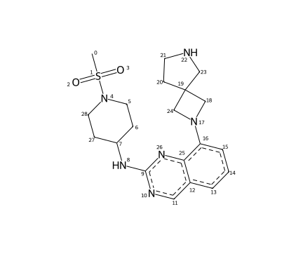 CS(=O)(=O)N1CCC(Nc2ncc3cccc(N4CC5(CCNC5)C4)c3n2)CC1